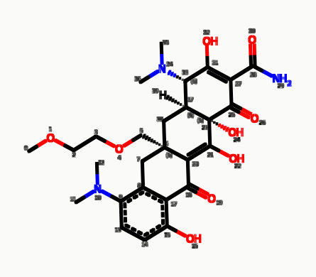 COCCOC[C@@]12Cc3c(N(C)C)ccc(O)c3C(=O)C1=C(O)[C@]1(O)C(=O)C(C(N)=O)=C(O)[C@@H](N(C)C)[C@@H]1C2